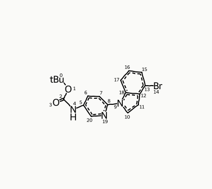 CC(C)(C)OC(=O)Nc1ccc(-n2ccc3c(Br)cccc32)nc1